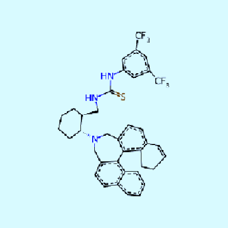 FC(F)(F)c1cc(NC(=S)NC[C@@H]2CCCC[C@H]2N2Cc3ccc4c(c3-c3c(ccc5ccccc35)C2)CCC=C4)cc(C(F)(F)F)c1